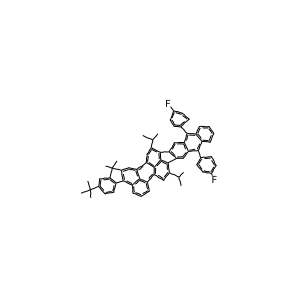 CC(C)c1cc2c3cccc4c5c(cc(c6cc(C(C)C)c7c(c1-c1cc8c(-c9ccc(F)cc9)c9ccccc9c(-c9ccc(F)cc9)c8cc1-7)c26)c43)C(C)(C)c1cc(C(C)(C)C)ccc1-5